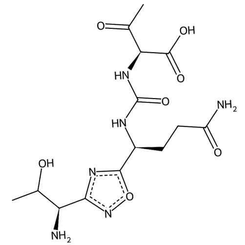 CC(=O)[C@H](NC(=O)N[C@@H](CCC(N)=O)c1nc([C@@H](N)C(C)O)no1)C(=O)O